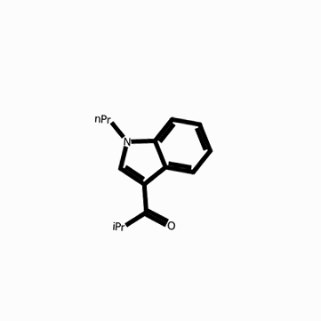 CCCn1cc(C(=O)C(C)C)c2ccccc21